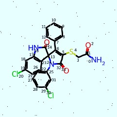 NC(=O)CSC1=C(c2ccccc2)C2(C(=O)Nc3cc(Cl)ccc32)N(c2cccc(Cl)c2)C1=O